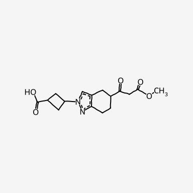 COC(=O)CC(=O)C1CCc2nn(C3CC(C(=O)O)C3)cc2C1